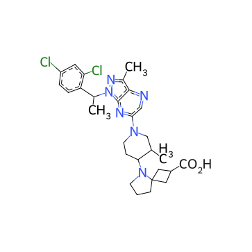 Cc1nn(C(C)c2ccc(Cl)cc2Cl)c2nc(N3CCC(N4CCCC45CC(C(=O)O)C5)C(C)C3)cnc12